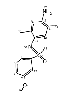 COc1cccc(S(C)(=O)=Nc2cc(C)c(N)cc2C)c1